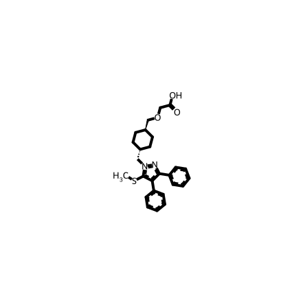 CSc1c(-c2ccccc2)c(-c2ccccc2)nn1C[C@H]1CC[C@H](COCC(=O)O)CC1